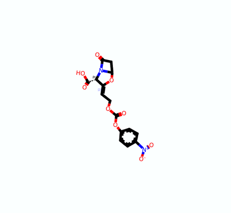 O=C(OC/C=C1\OC2CC(=O)N2[C@H]1C(=O)O)Oc1ccc([N+](=O)[O-])cc1